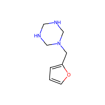 c1coc(CN2CNCNC2)c1